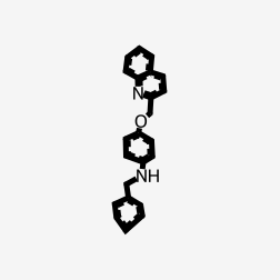 c1ccc(CNc2ccc(OCc3ccc4ccccc4n3)cc2)cc1